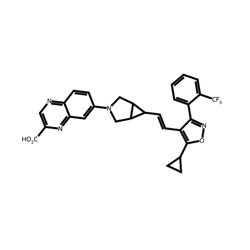 O=C(O)c1cnc2ccc(N3CC4C(C=Cc5c(-c6ccccc6C(F)(F)F)noc5C5CC5)C4C3)cc2n1